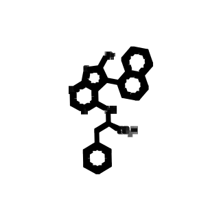 CC(C)c1sc2ncnc(N[C@H](Cc3ccccc3)C(=O)O)c2c1-c1cccc2ccccc12